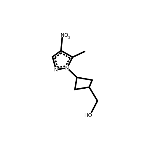 Cc1c([N+](=O)[O-])cnn1C1CC(CO)C1